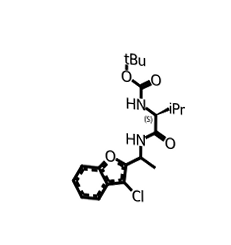 CC(NC(=O)[C@@H](NC(=O)OC(C)(C)C)C(C)C)c1oc2ccccc2c1Cl